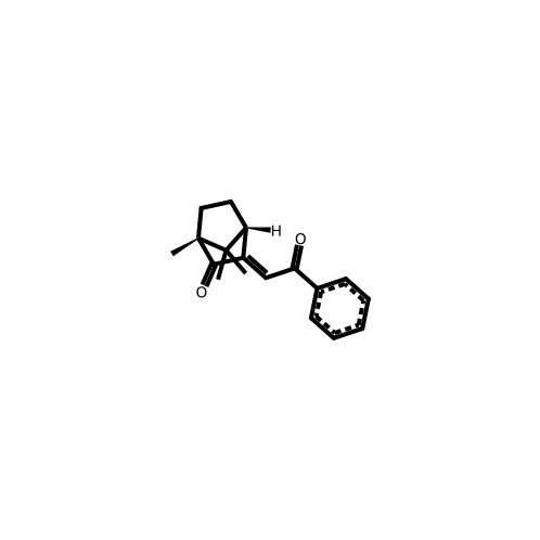 CC1(C)[C@@H]2CC[C@@]1(C)C(=O)/C2=C/C(=O)c1ccccc1